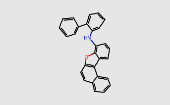 c1ccc(-c2ccccc2Nc2cccc3c2oc2ccc4ccccc4c23)cc1